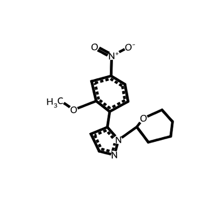 COc1cc([N+](=O)[O-])ccc1-c1ccnn1C1CCCCO1